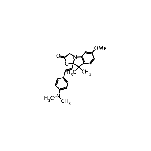 COc1ccc2c(c1)N1CC(=O)OC1(C=Cc1ccc(N(C)C)cc1)C2(C)C